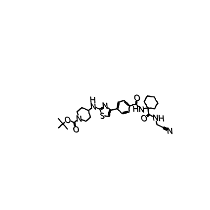 CC(C)(C)OC(=O)N1CCC(Nc2nc(-c3ccc(C(=O)NC4(C(=O)NCC#N)CCCCC4)cc3)cs2)CC1